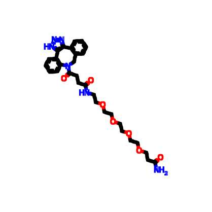 NC(=O)CCOCCOCCOCCOCCNC(=O)CCC(=O)N1Cc2ccccc2-c2nn[nH]c2-c2ccccc21